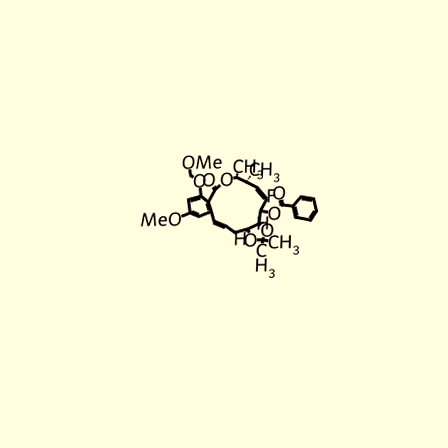 COCOc1cc(OC)cc2c1C(=O)O[C@@H](C)[C@H](C)/C=C(/F)C(OC(=O)c1ccccc1)[C@H]1OC(C)(C)O[C@H]1C/C=C/2